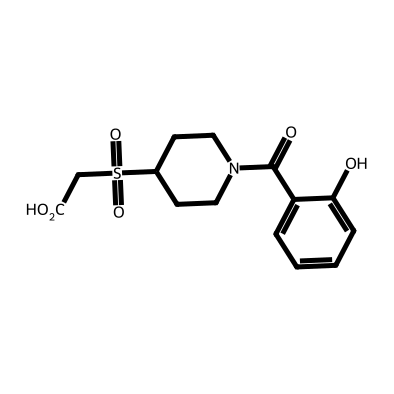 O=C(O)CS(=O)(=O)C1CCN(C(=O)c2ccccc2O)CC1